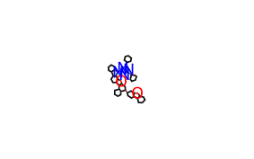 c1ccc(-c2nc(-c3ccccc3)nc(-n3c4ccccc4c4ccc5c(oc6cc(-c7ccc8c(c7)oc7ccccc78)c7ccccc7c65)c43)n2)cc1